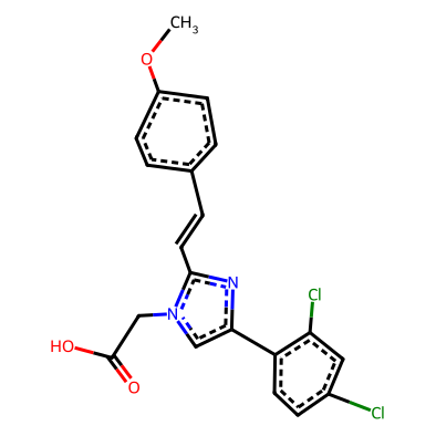 COc1ccc(/C=C/c2nc(-c3ccc(Cl)cc3Cl)cn2CC(=O)O)cc1